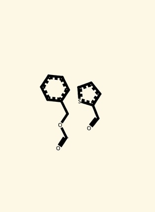 O=Cc1cccs1.O=[C]OCc1ccccc1